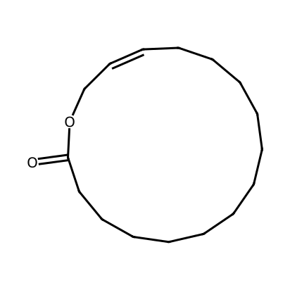 O=C1CCCCCCCCCCCCC=CCO1